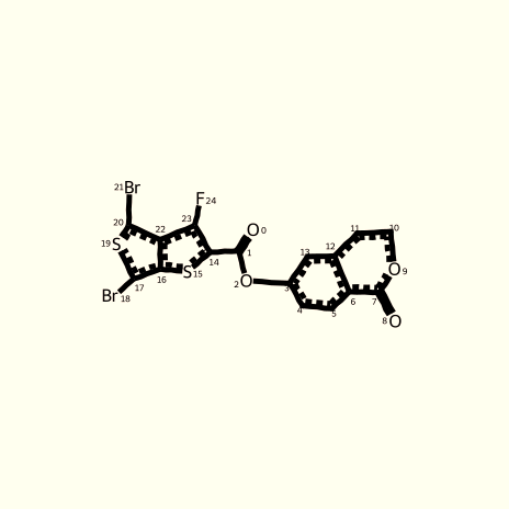 O=C(Oc1ccc2c(=O)occc2c1)c1sc2c(Br)sc(Br)c2c1F